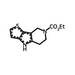 CCOC(=O)N1CCc2[nH]c3ccsc3c2C1